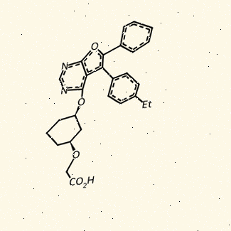 CCc1ccc(-c2c(-c3ccccc3)oc3ncnc(O[C@@H]4CCC[C@H](OCC(=O)O)C4)c23)cc1